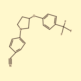 N#Cc1ccc(N2CCC(Oc3ccc(C(F)(F)F)cc3)C2)cc1